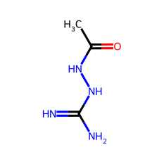 CC(=O)NNC(=N)N